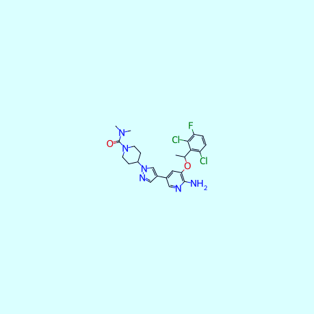 CC(Oc1cc(-c2cnn(C3CCN(C(=O)N(C)C)CC3)c2)cnc1N)c1c(Cl)ccc(F)c1Cl